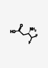 N[C@@H](CC(=O)O)C(F)F